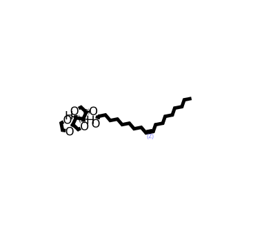 CCCCCCCC/C=C\CCCCCCCC(=O)O[C@@H]1CO[C@H]2[C@@H]1OCC21OCCO1